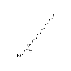 CCCCCCCCCCCCNC(=O)CCS